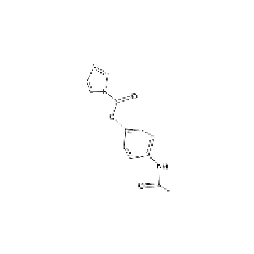 CC(=O)Nc1ccc(OC(=O)n2ccnc2)cc1